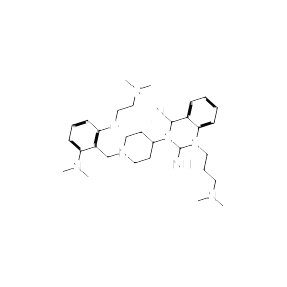 CN(C)CCCN1c2ccccc2C(N)N(C2CCN(Cc3c(OCCN(C)C)cccc3N(C)C)CC2)C1N